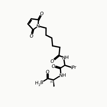 BC(=O)[C@H](C)NC(=O)C(NC(=O)CCCCCN1C(=O)C=CC1=O)C(C)C